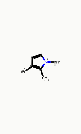 CCCn1ccc(C(C)C)c1C